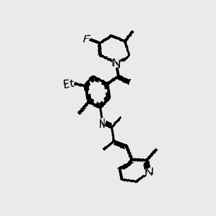 C=C(c1cc(CC)c(C)c(/N=C(C)/C(C)=C/C2=CCCN=C2C)c1)N1CC(C)CC(F)C1